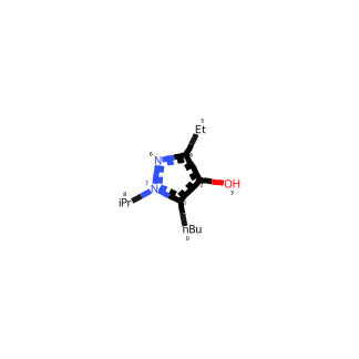 CCCCc1c(O)c(CC)nn1C(C)C